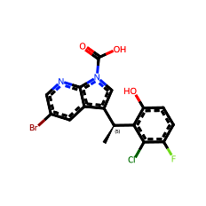 C[C@H](c1c(O)ccc(F)c1Cl)c1cn(C(=O)O)c2ncc(Br)cc12